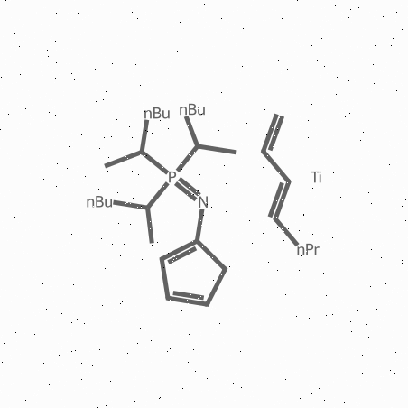 C=CC=CCCC.CCCCC(C)P(=NC1=CC=CC1)(C(C)CCCC)C(C)CCCC.[Ti]